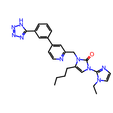 CCCCc1cn(-c2nccn2CC)c(=O)n1Cc1cc(-c2cccc(-c3nnn[nH]3)c2)ccn1